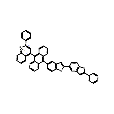 C=c1cccc/c1=C(/C=C(\C)c1ccccc1)c1c2ccccc2c(-c2ccc3oc(-c4ccc5oc(-c6ccccc6)cc5c4)cc3c2)c2ccccc12